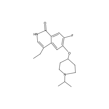 CCc1c[nH]c(=O)c2cc(F)c(OC3CCN(C(C)C)CC3)cc12